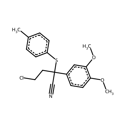 COc1ccc(C(C#N)(CCCl)Sc2ccc(C)cc2)cc1OC